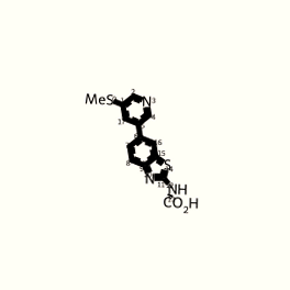 CSc1cncc(-c2ccc3nc(NC(=O)O)sc3c2)c1